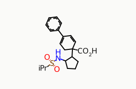 CC(C)S(=O)(=O)NC1CCCC1C1(C(=O)O)C=CC(c2ccccc2)=CC1